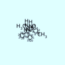 CNC(NS(=O)(=O)c1ccc(C)cc1)N1CC(c2ccccc2)C(c2ccccc2)=N1